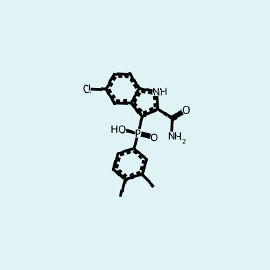 Cc1ccc(P(=O)(O)c2c(C(N)=O)[nH]c3ccc(Cl)cc23)cc1C